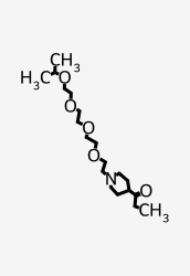 CCC(=O)C1CCN(CCOCCOCCOCCOC(C)C)CC1